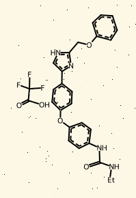 CCNC(=O)Nc1ccc(Oc2ccc(-c3c[nH]c(COc4ccccc4)n3)cc2)cc1.O=C(O)C(F)(F)F